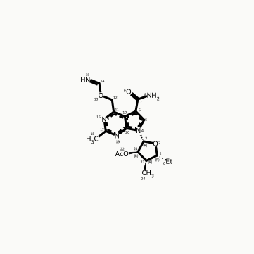 CC[C@H]1O[C@@H](n2cc(C(N)=O)c3c(COC=N)nc(C)nc32)[C@H](OC(C)=O)[C@@H]1C